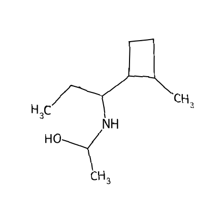 CCC(NC(C)O)C1CCC1C